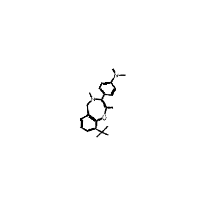 CC1=C(c2ccc(N(C)C)cc2)N(C)Cc2cccc(C(C)(C)C)c2O1